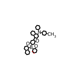 Cc1ccc(N(c2ccccc2)c2cc3oc4c5c6c(cc4c3c3ccccc23)Oc2ccc3ccccc3c2B6c2c(ccc3ccccc23)O5)cc1